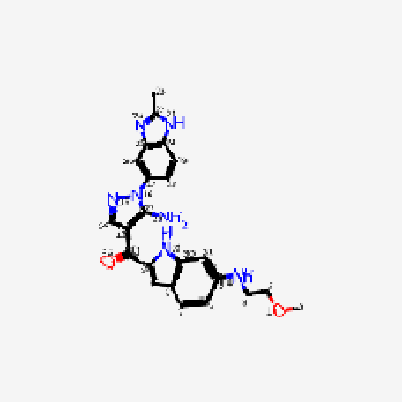 COCCNc1ccc2cc(C(=O)c3cnn(-c4ccc5[nH]c(C)nc5c4)c3N)[nH]c2c1